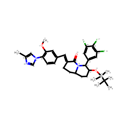 COc1cc(/C=C2\CCC3CCC(O[Si](C)(C)C(C)(C)C)C(c4cc(F)c(F)c(F)c4)N3C2=O)ccc1-n1cnc(C)c1